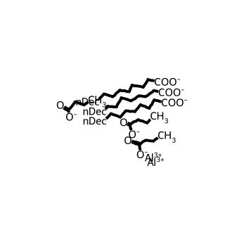 CCCC(=O)[O-].CCCC(=O)[O-].CCCC(=O)[O-].CCCCCCCCCCCCCCCCCC(=O)[O-].CCCCCCCCCCCCCCCCCC(=O)[O-].CCCCCCCCCCCCCCCCCC(=O)[O-].[Al+3].[Al+3]